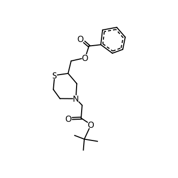 CC(C)(C)OC(=O)CN1CCSC(COC(=O)c2ccccc2)C1